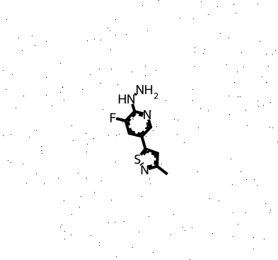 Cc1cc(-c2cnc(NN)c(F)c2)sn1